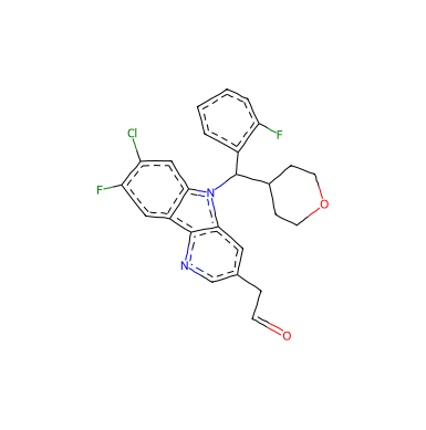 O=CCc1cnc2c3cc(F)c(Cl)cc3n(C(c3ccccc3F)C3CCOCC3)c2c1